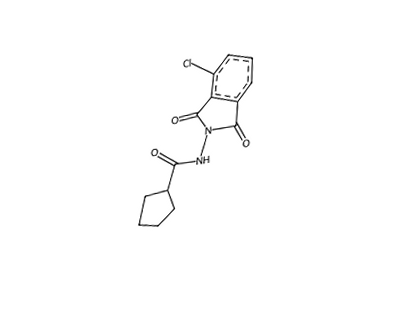 O=C(NN1C(=O)c2cccc(Cl)c2C1=O)C1CCCC1